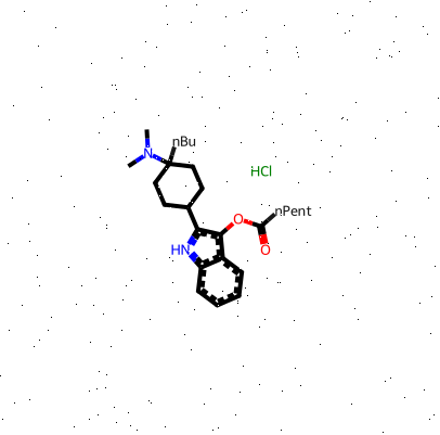 CCCCCC(=O)Oc1c(C2CCC(CCCC)(N(C)C)CC2)[nH]c2ccccc12.Cl